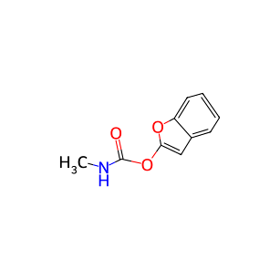 CNC(=O)Oc1cc2ccccc2o1